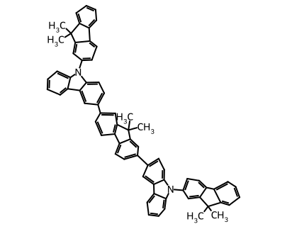 CC1(C)c2cc(-c3ccc4c(c3)c3ccccc3n4-c3ccc4c(c3)C(C)(C)c3ccccc3-4)ccc2-c2ccc(-c3ccc4c(c3)c3ccccc3n4-c3ccc4c(c3)C(C)(C)c3ccccc3-4)cc21